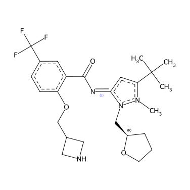 Cn1c(C(C)(C)C)c/c(=N\C(=O)c2cc(C(F)(F)F)ccc2OCC2CNC2)n1C[C@H]1CCCO1